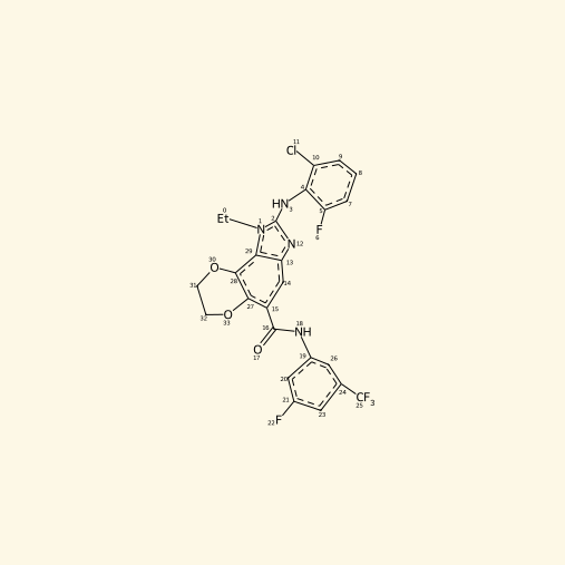 CCn1c(Nc2c(F)cccc2Cl)nc2cc(C(=O)Nc3cc(F)cc(C(F)(F)F)c3)c3c(c21)OCCO3